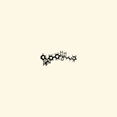 O=C(NCCCN1CCCC1)Nc1ccc(-c2ccc3c(c2)nc(C(F)(F)F)n3-c2ccccc2)cc1